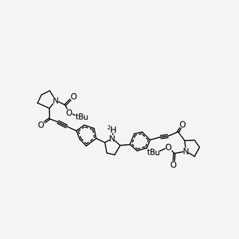 [2H]N1C(c2ccc(C#CC(=O)C3CCCN3C(=O)OC(C)(C)C)cc2)CCC1c1ccc(C#CC(=O)C2CCCN2C(=O)OC(C)(C)C)cc1